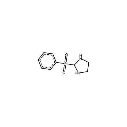 O=S(=O)(c1[c]cccc1)C1NCCN1